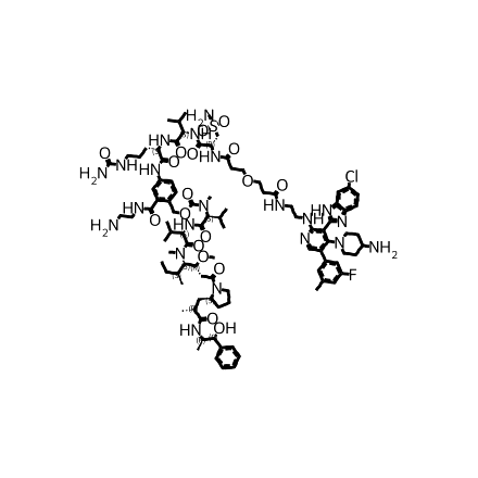 CC[C@H](C)[C@@H]([C@@H](CC(=O)N1CCC[C@H]1C[C@@H](C)C(=O)N[C@H](C)[C@@H](O)c1ccccc1)OC)N(C)C(=O)[C@@H](NC(=O)[C@H](C(C)C)N(C)C(=O)OCc1ccc(NC(=O)[C@H](CCCNC(N)=O)NC(=O)[C@@H](NC(=O)[C@H](CS(N)(=O)=O)NC(=O)CCOCCC(=O)NCCNc2ncc(-c3cc(C)cc(F)c3)c(N3CCC(N)CC3)c2-c2nc3ccc(Cl)cc3[nH]2)C(C)C)cc1C(=O)NCCN)C(C)C